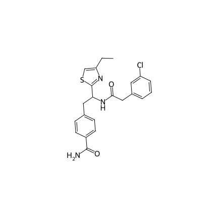 CCc1csc(C(Cc2ccc(C(N)=O)cc2)NC(=O)Cc2cccc(Cl)c2)n1